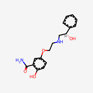 NC(=O)c1cc(OCCNC[C@@H](O)c2ccccc2)ccc1O